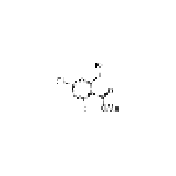 COC(=O)c1c(F)cc(Cl)cc1CBr